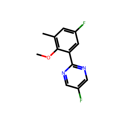 COc1c(C)cc(F)cc1-c1ncc(F)cn1